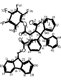 NC(=O)C([C@H](NC(=O)OCC1c2ccccc2-c2ccccc21)C(=O)Oc1c(F)c(F)c(F)c(F)c1F)C(c1ccccc1)(c1ccccc1)c1ccccc1